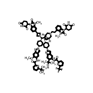 COc1cc2nn([C@H]3CC[C@H](C(C4C[C@@H]5CN(CCc6cccc7c6n(C)c(=O)n7C6CCC(=O)NC6=O)C[C@H]4N5C[C@H]4CC[C@H](n5cc6cc(NC(=O)c7cccc(C(F)(F)F)n7)c(C(C)(C)O)cc6n5)CC4)N4CC(c5ccc6c(c5)n(C)c(=O)n6C5CCC(=O)NC5=O)C4)CC3)cc2cc1NC(=O)c1cccc(C(C)(C)F)n1